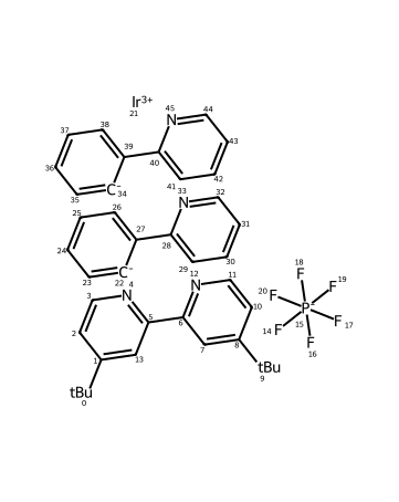 CC(C)(C)c1ccnc(-c2cc(C(C)(C)C)ccn2)c1.F[P-](F)(F)(F)(F)F.[Ir+3].[c-]1ccccc1-c1ccccn1.[c-]1ccccc1-c1ccccn1